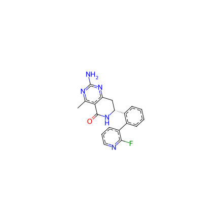 Cc1nc(N)nc2c1C(=O)N[C@@H](c1ccccc1-c1cccnc1F)C2